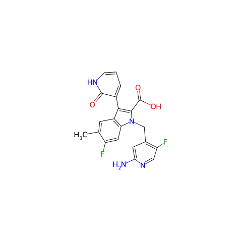 Cc1cc2c(-c3ccc[nH]c3=O)c(C(=O)O)n(Cc3cc(N)ncc3F)c2cc1F